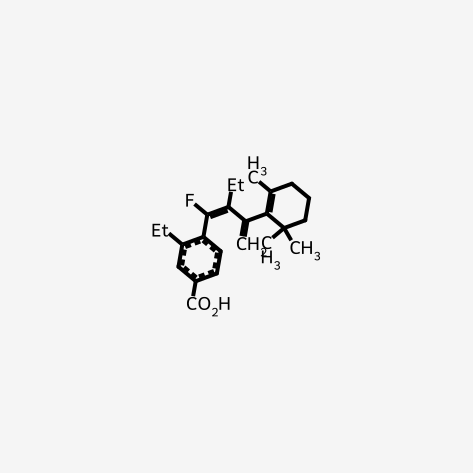 C=C(C(CC)=C(F)c1ccc(C(=O)O)cc1CC)C1=C(C)CCCC1(C)C